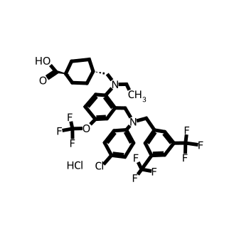 CCN(C[C@H]1CC[C@H](C(=O)O)CC1)c1ccc(OC(F)(F)F)cc1CN(Cc1cc(C(F)(F)F)cc(C(F)(F)F)c1)c1ccc(Cl)cc1.Cl